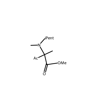 CCCC(C)N(C)C(C)(C(C)=O)C(=O)OC